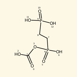 O=C(O)OP(=O)(O)CCP(=O)(O)O